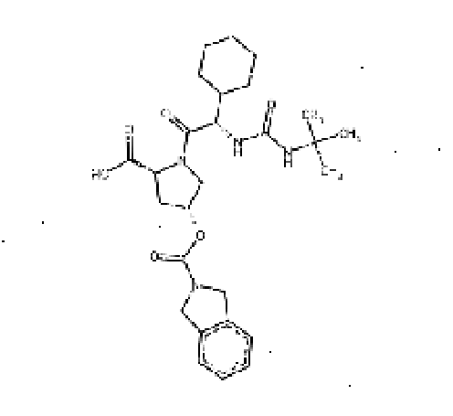 CC(C)(C)NC(=O)N[C@H](C(=O)N1C[C@H](OC(=O)N2Cc3ccccc3C2)C[C@H]1C(=O)O)C1CCCCC1